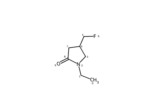 CCN1CC(CF)CC1=O